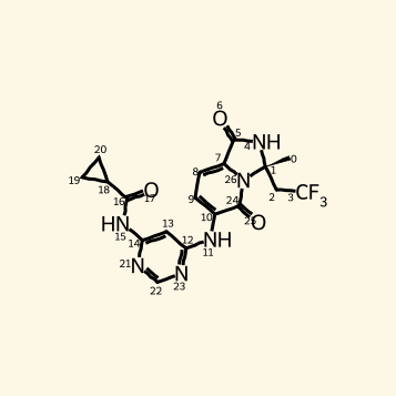 C[C@]1(CC(F)(F)F)NC(=O)c2ccc(Nc3cc(NC(=O)C4CC4)ncn3)c(=O)n21